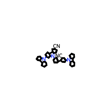 N#Cc1ccc2c(c1)c1ccc(-n3c4ccccc4c4ccccc43)cc1n2-c1cccc(-c2ccc(-n3c4ccccc4c4ccccc43)cc2C#N)c1